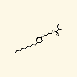 CCCCCCCCCc1ccc(OCCCOC(=O)C(C)CC)cc1